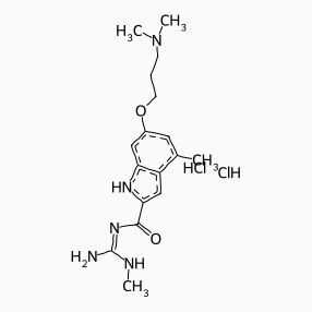 CNC(N)=NC(=O)c1cc2c(C)cc(OCCCN(C)C)cc2[nH]1.Cl.Cl